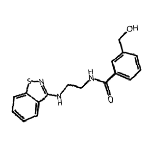 O=C(NCCNc1nsc2ccccc12)c1cccc(CO)c1